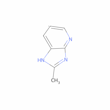 Cc1nc2nc[c]cc2[nH]1